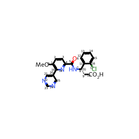 COc1ccc(C(=O)N[C@@H](CC(=O)O)c2ccccc2Cl)nc1-c1cncnc1